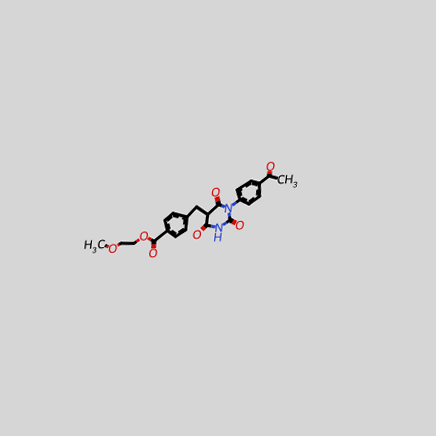 COCCOC(=O)c1ccc(CC2C(=O)NC(=O)N(c3ccc(C(C)=O)cc3)C2=O)cc1